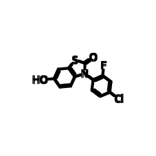 O=c1sc2cc(O)ccc2n1-c1ccc(Cl)cc1F